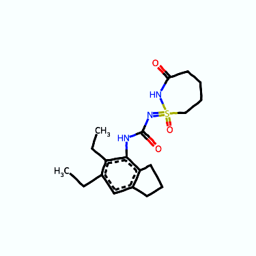 CCc1cc2c(c(NC(=O)N=S3(=O)CCCCC(=O)N3)c1CC)CCC2